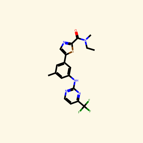 CCN(C)C(=O)c1ncc(-c2cc(C)cc(Nc3nccc(C(F)(F)F)n3)c2)s1